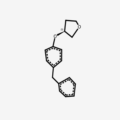 c1ccc(Cc2ccc(O[C@H]3CCOC3)cc2)cc1